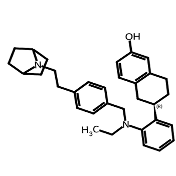 CCN(Cc1ccc(CCN2C3CCC2CC3)cc1)c1ccccc1[C@@H]1CCc2cc(O)ccc2C1